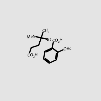 CC(=O)Oc1ccccc1C(=O)O.CCC(C)(CCC(=O)O)NC